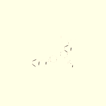 COc1ccc2c(c1OC)C[C@@H](C1CCN(C(=O)Cc3ccc(F)cc3)CC1)O[C@H]2CNC=O